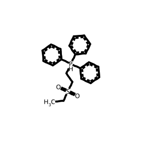 CCS(=O)(=O)CC[PH](c1ccccc1)(c1ccccc1)c1ccccc1